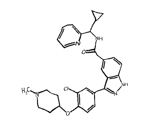 CN1CCC(Oc2ccc(-c3n[nH]c4ccc(C(=O)NC(c5ccccn5)C5CC5)cc34)cc2Cl)CC1